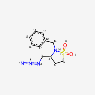 [N-]=[N+]=NCC1CCS(=O)(=O)N1Cc1ccccc1